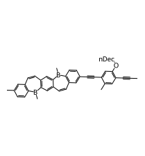 CC#Cc1cc(C)c(C#Cc2ccc3c(c2)C=Cc2cc4c(cc2B3C)C=Cc2cc(C)ccc2B4C)cc1OCCCCCCCCCC